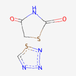 O=C1CSC(=O)N1.c1nnns1